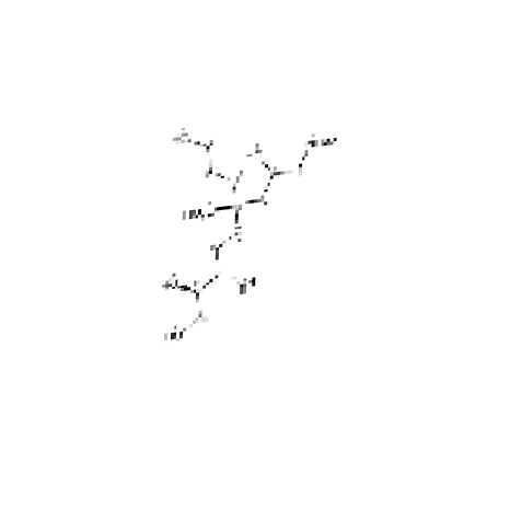 CC(=O)NCC(O)C[C@@](OCCO)(OC[C@H](O)[C@H](O)CO)C(=O)O